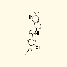 CCOc1ccc(C(=O)Nc2ccc3c(c2)CNC(C)(C)C3)cc1Br